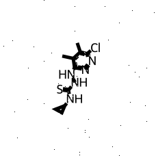 Cc1c(Cl)nnc(NNC(=S)NC2CC2)c1C